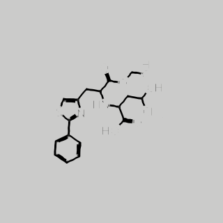 CCOC(=O)C(Cc1csc(-c2ccccc2)n1)NC(CC(C)C)C(=O)O